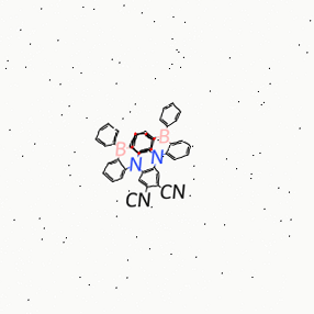 N#Cc1cc(N2c3ccccc3B(c3ccccc3)c3ccccc32)c(N2c3ccccc3B(c3ccccc3)c3ccccc32)cc1C#N